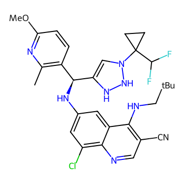 COc1ccc([C@H](Nc2cc(Cl)c3ncc(C#N)c(NCC(C)(C)C)c3c2)C2=CN(C3(C(F)F)CC3)NN2)c(C)n1